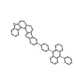 c1ccc(-c2c3ccccc3c(-c3ccc(-c4ccc5sc6c(ccc7ccc8oc9ccccc9c8c76)c5c4)cc3)c3ccccc23)cc1